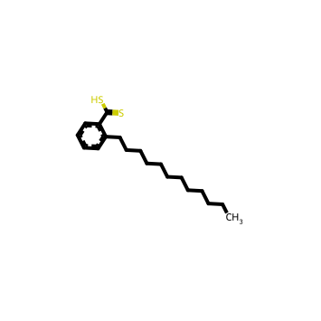 CCCCCCCCCCCCc1ccccc1C(=S)S